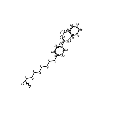 CCCCCCCCCc1ccc(C(=O)Oc2ccccc2Cl)cc1